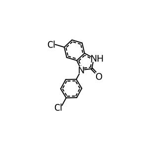 O=c1[nH]c2ccc(Cl)cc2n1-c1ccc(Cl)cc1